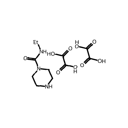 CCNC(=O)N1CCNCC1.O=C(O)C(=O)O.O=C(O)C(=O)O